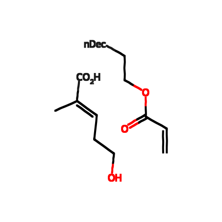 C=CC(=O)OCCCCCCCCCCCC.CC(=CCCO)C(=O)O